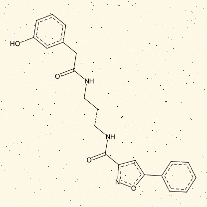 O=C(Cc1cccc(O)c1)NCCCNC(=O)c1cc(-c2ccccc2)on1